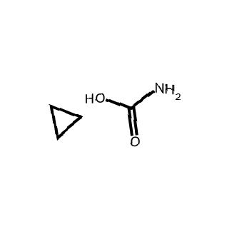 C1CC1.NC(=O)O